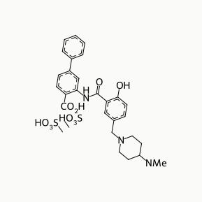 CNC1CCN(Cc2ccc(O)c(C(=O)Nc3cc(-c4ccccc4)ccc3C(=O)O)c2)CC1.CS(=O)(=O)O.CS(=O)(=O)O